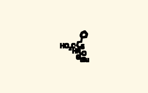 CC(C)(C)OC(=O)NC(=S)[C@@H](CCc1ccccc1)C(=O)O